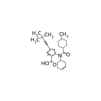 CC1CCC(C(=O)N(c2cc(C#CC(C)(C)C)sc2C(=O)O)C2CC=CCC2)CC1